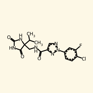 CC(C)C1(CNC(=O)c2cnn(-c3ccc(Cl)c(F)c3)n2)NC(=O)NC1=O